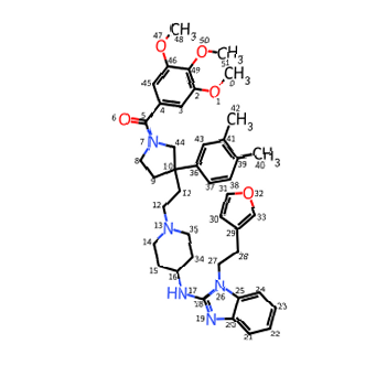 COc1cc(C(=O)N2CCC(CCN3CCC(Nc4nc5ccccc5n4CCc4ccoc4)CC3)(c3ccc(C)c(C)c3)C2)cc(OC)c1OC